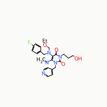 C=Nc1c(N(COCC)Cc2ccc(F)cc2)c(=O)n(CCCO)c(=O)n1Cc1ccncc1